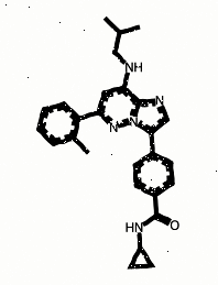 Cc1ccccc1-c1cc(NCC(C)C)c2ncc(-c3ccc(C(=O)NC4CC4)cc3)n2n1